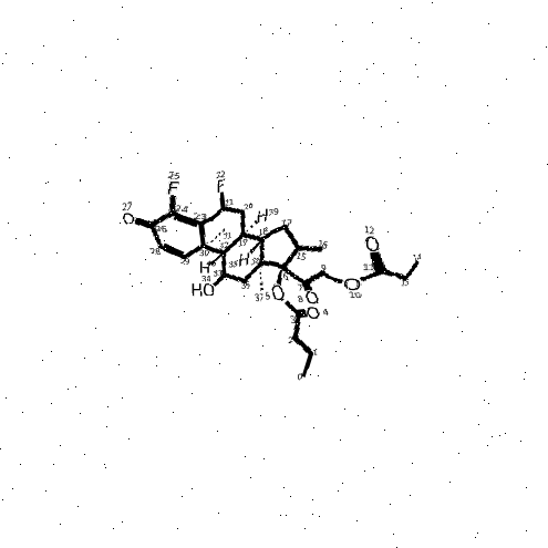 CCCC(=O)O[C@]1(C(=O)COC(=O)CC)C(C)C[C@H]2[C@@H]3CC(F)C4=C(F)C(=O)C=C[C@]4(C)[C@H]3C(O)C[C@@]21C